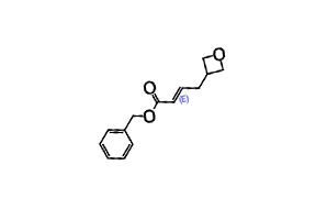 O=C(/C=C/CC1COC1)OCc1ccccc1